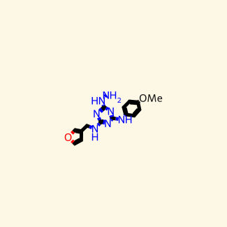 COc1ccc(Nc2nc(NN)nc(NCc3ccoc3)n2)cc1